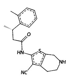 Cc1ccccc1[C@@H](C)CC(=O)Nc1sc2c(c1C#N)CCNC2